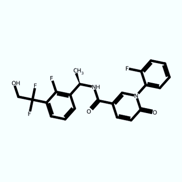 C[C@@H](NC(=O)c1ccc(=O)n(-c2ccccc2F)c1)c1cccc(C(F)(F)CO)c1F